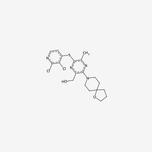 Cc1nc(N2CCC3(CCCO3)CC2)c(CO)nc1Sc1ccnc(Cl)c1Cl